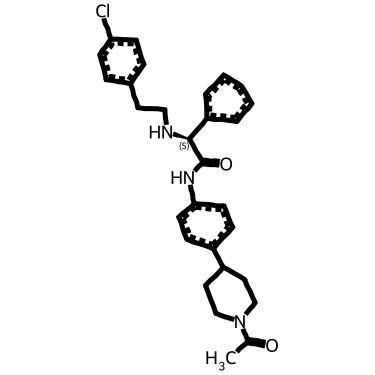 CC(=O)N1CCC(c2ccc(NC(=O)[C@@H](NCCc3ccc(Cl)cc3)c3ccccc3)cc2)CC1